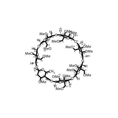 COCC1O[C@H]2O[C@@H]3C(COC)O[C@H](O[C@@H]4C(COC)O[C@H](O[C@@H]5C(COC)O[C@@H](O[C@@H]6C(C)O[C@H](CC6OC)O[C@H]6CC(OC)[C@@H](OC6COC)O[C@H]6CC(OC)[C@@H](OC6COC)O[C@H]1C(OC)C2OC)C(OC)C5OC)C(OC)C4OC)C(OC)C3OC